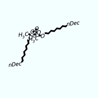 CCCCCCCCCCCCCCCCCCOC(C)OS(=O)(=O)OC(C)OCCCCCCCCCCCCCCCCCC